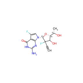 C#CC1(F)C(O)[C@@H]([C@H](C)O)O[C@H]1n1cc(F)c2c(=O)[nH]c(N)nc21